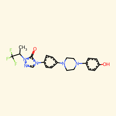 CC(n1ncn(-c2ccc(N3CCN(c4ccc(O)cc4)CC3)cc2)c1=O)C(F)(F)F